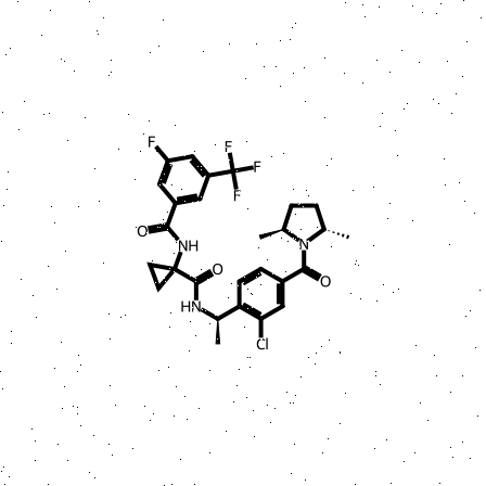 C[C@@H](NC(=O)C1(NC(=O)c2cc(F)cc(C(F)(F)F)c2)CC1)c1ccc(C(=O)N2[C@@H](C)CC[C@@H]2C)cc1Cl